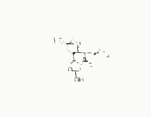 C=CCn1c(=O)n(CC(=O)O)c(=O)n(CC(=O)O)c1=O